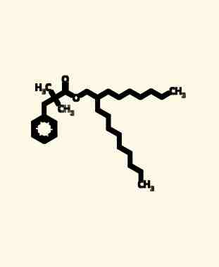 CCCCCCCCCC(CCCCCCC)COC(=O)C(C)(C)Cc1ccccc1